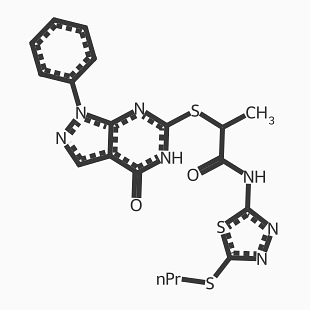 CCCSc1nnc(NC(=O)C(C)Sc2nc3c(cnn3-c3ccccc3)c(=O)[nH]2)s1